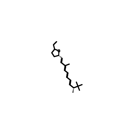 CCC1CC[C@@H](/C=C/C(C)=C/C=C/C=C/[C@@H](C)C(C)(C)C)O1